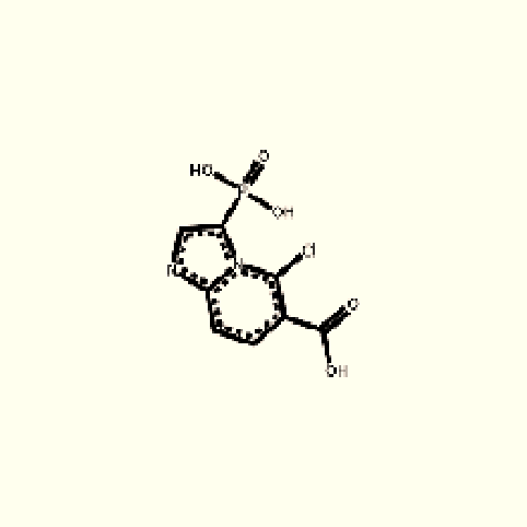 O=C(O)c1ccc2ncc(P(=O)(O)O)n2c1Cl